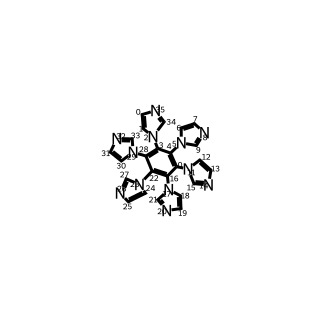 c1cn(-c2c(-n3ccnc3)c(-n3ccnc3)c(-n3ccnc3)c(-n3ccnc3)c2-n2ccnc2)cn1